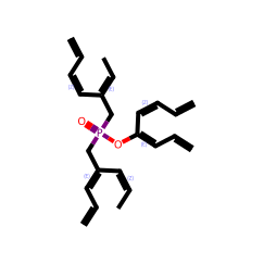 C=C/C=C\C(=C/C)CP(=O)(CC(/C=C\C)=C/C=C)OC(/C=C\C=C)=C/C=C